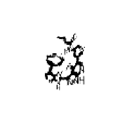 CCCC(=O)Nc1cncc(-c2cnc3[nH]nc(-c4nc5c(-c6ccncc6)ccnc5[nH]4)c3c2F)c1